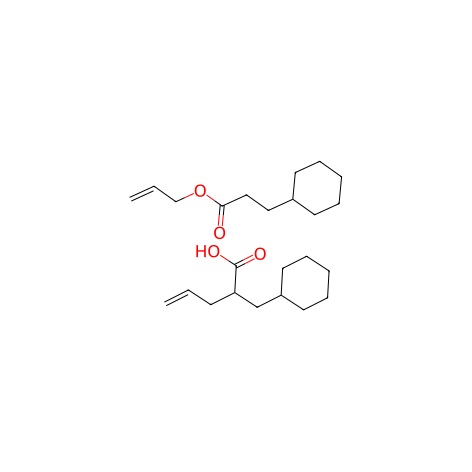 C=CCC(CC1CCCCC1)C(=O)O.C=CCOC(=O)CCC1CCCCC1